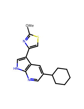 COc1nc(-c2c[nH]c3ncc(C4CCCCC4)cc23)cs1